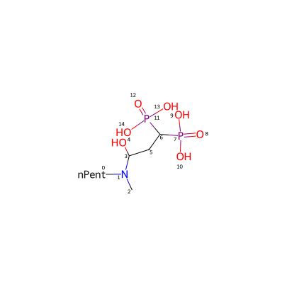 CCCCCN(C)C(O)CC(P(=O)(O)O)P(=O)(O)O